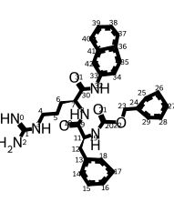 N=C(N)NCCC[C@H](NC(=O)[C@H](Cc1ccccc1)NC(=O)OCc1ccccc1)C(=O)Nc1ccc2ccccc2c1